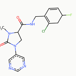 CN1C(=O)N(c2cncnc2)CC1C(=O)NCC1=C(Cl)CC(F)C=C1